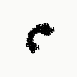 CCC1(CC)C(=O)N(c2cccc(F)c2O)[C@H]1c1cc(F)c(N2CCC(CN3CCN(c4ccc5c(c4)CN([C@H]4CCC(=O)NC4=O)C5=O)CC3)CC2)cc1OC